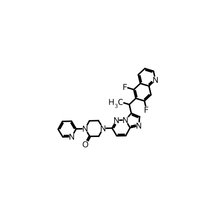 CC(c1c(F)cc2ncccc2c1F)c1cnc2ccc(N3CCN(c4ccccn4)C(=O)C3)nn12